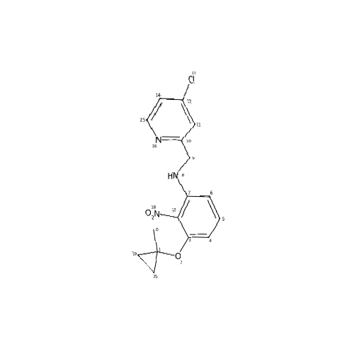 CC1(Oc2cccc(NCc3cc(Cl)ccn3)c2[N+](=O)[O-])CC1